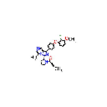 CC#CC(=O)N1CCCC1c1nc(-c2ccc(Oc3cccc(OC)c3F)cc2)c2cncc(C)n12